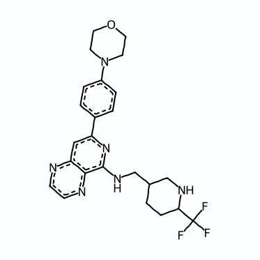 FC(F)(F)C1CCC(CNc2nc(-c3ccc(N4CCOCC4)cc3)cc3nccnc23)CN1